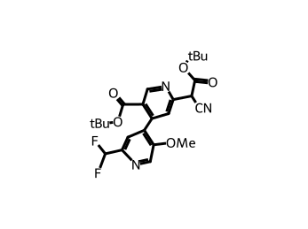 COc1cnc(C(F)F)cc1-c1cc(C(C#N)C(=O)OC(C)(C)C)ncc1C(=O)OC(C)(C)C